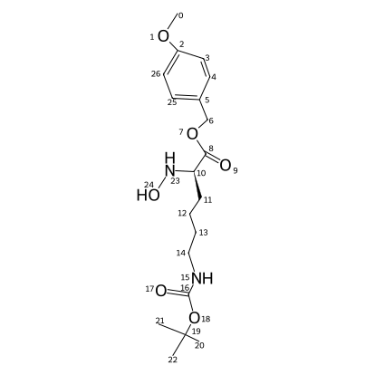 COc1ccc(COC(=O)[C@@H](CCCCNC(=O)OC(C)(C)C)NO)cc1